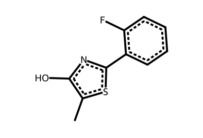 Cc1sc(-c2ccccc2F)nc1O